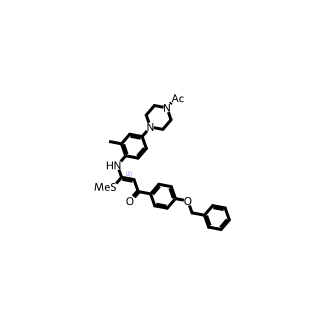 CS/C(=C\C(=O)c1ccc(OCc2ccccc2)cc1)Nc1ccc(N2CCN(C(C)=O)CC2)cc1C